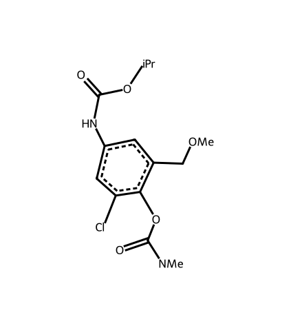 CNC(=O)Oc1c(Cl)cc(NC(=O)OC(C)C)cc1COC